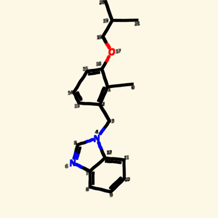 Cc1c(Cn2cnc3ccccc32)cccc1OCC(C)C